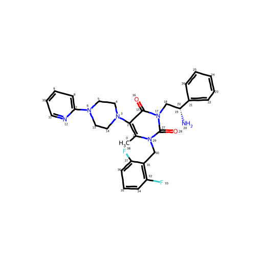 Cc1c(N2CCN(c3ccccn3)CC2)c(=O)n(C[C@@H](N)c2ccccc2)c(=O)n1Cc1c(F)cccc1F